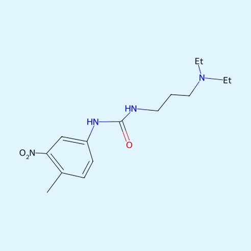 CCN(CC)CCCNC(=O)Nc1ccc(C)c([N+](=O)[O-])c1